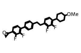 COC1CCC(c2ccc(CCc3ccc(-c4ccc(C5CO5)c(F)c4F)cc3)c(F)c2F)CC1